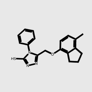 Cc1ccc(OCc2nnc(S)n2-c2ccccc2)c2c1CCC2